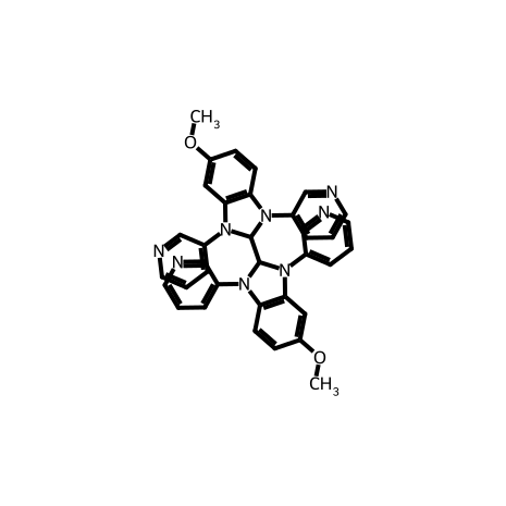 COc1ccc2c(c1)N(c1cccnc1)C(C1N(c3cccnc3)c3ccc(OC)cc3N1c1cccnc1)N2c1cccnc1